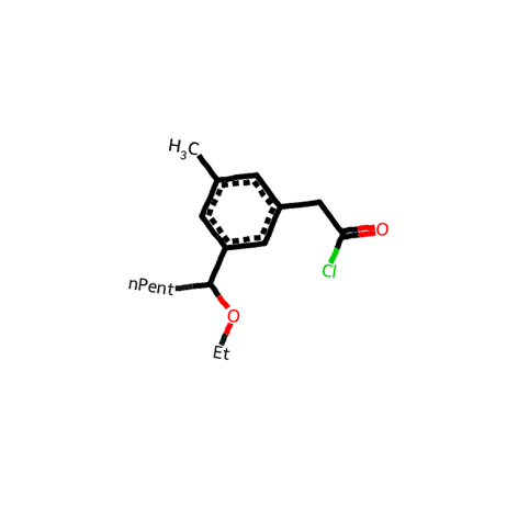 CCCCCC(OCC)c1cc(C)cc(CC(=O)Cl)c1